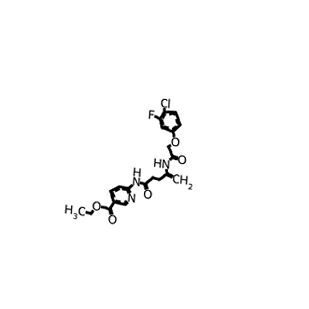 C=C(CCC(=O)Nc1ccc(C(=O)OCC)cn1)NC(=O)COc1ccc(Cl)c(F)c1